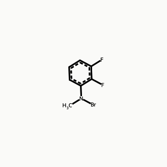 CN(Br)c1cccc(F)c1F